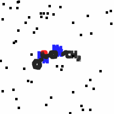 C=CCn1nnc2cc(-c3nc(-c4ccccc4)no3)ccc21